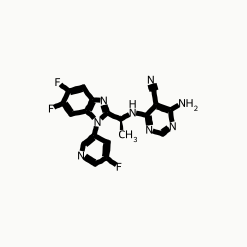 C[C@H](Nc1ncnc(N)c1C#N)c1nc2cc(F)c(F)cc2n1-c1cncc(F)c1